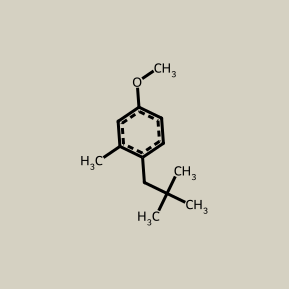 COc1ccc(CC(C)(C)C)c(C)c1